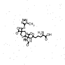 Cn1nnnc1SCC1(C(=O)O)CS[C@H]2N(C1)C(=O)C2(NC=O)NC(=O)CCCC(N)C(=O)O